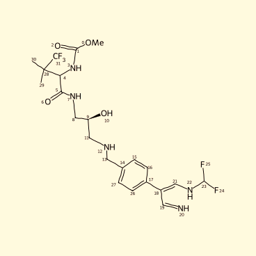 COC(=O)NC(C(=O)NC[C@@H](O)CNCc1ccc(/C(C=N)=C/NC(F)F)cc1)C(C)(C)C(F)(F)F